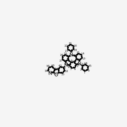 c1ccc(-n2c3ccc4c5c3c3c2cccc3n(-c2ccccc2)c2cccc(c52)n4-c2ccc3oc4ncccc4c3c2)cc1